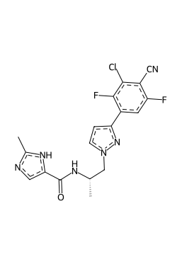 Cc1ncc(C(=O)N[C@@H](C)Cn2ccc(-c3cc(F)c(C#N)c(Cl)c3F)n2)[nH]1